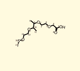 CC(OCCOCC(=O)O)C(C)OCCOSI